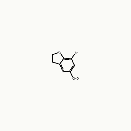 O=Cc1cc(Br)c2c(n1)CCO2